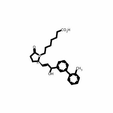 Cc1ccccc1-c1cccc(C(O)C=C[C@H]2CCC(=O)N2CCCCCCC(=O)O)c1